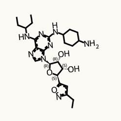 CCc1cc([C@H]2O[C@@H](n3cnc4c(NC(CC)CC)nc(NC5CCC(N)CC5)nc43)[C@H](O)[C@@H]2O)on1